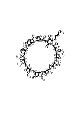 C/C=C/C[C@@H]1[C@@H](O)[C@H]2C(=O)N1[C@@H](CC)C(=O)N(C)[C@H](C)C(=O)N(CC)[C@@H](C(C)C)C(=O)N[C@@H](C(C)C)C(=O)N(C)[C@@H](CC(C)C)C(=O)N[C@@H](C)C(=O)N[C@H](C)C(=O)N(C)[C@@H](CC(C)C)C(=O)N(C)[C@@H](CC(C)C)C(=O)N(C)[C@@H](C(C)C)C(=O)N2C